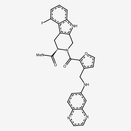 CNC(=O)[C@H]1Cc2c([nH]c3cccc(F)c23)CN1C(=O)c1occc1CNc1ccc2nccnc2c1